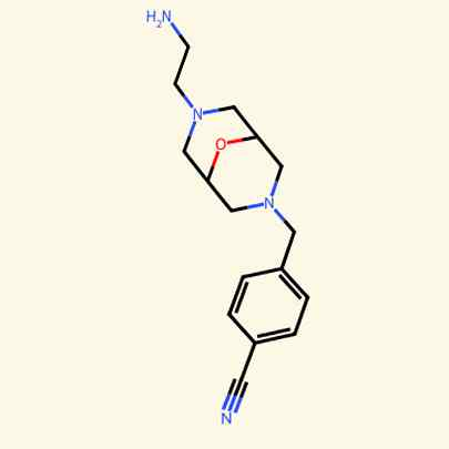 N#Cc1ccc(CN2CC3CN(CCN)CC(C2)O3)cc1